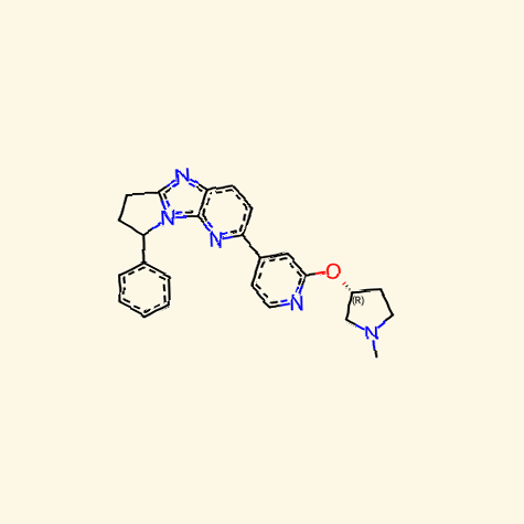 CN1CC[C@@H](Oc2cc(-c3ccc4nc5n(c4n3)C(c3ccccc3)CC5)ccn2)C1